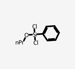 CCCO[Si](Cl)(Cl)c1ccccc1